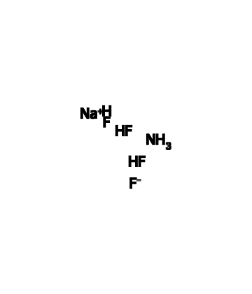 F.F.F.N.[F-].[Na+]